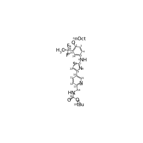 CCCCCCCCOc1ccc(Nc2nc(-c3ccc(CNC(=O)OC(C)(C)C)nc3)cs2)cc1C(C)(F)F